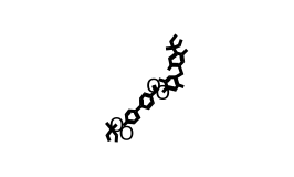 CCC(C)(CC)OC(=O)c1ccc(-c2ccc(C(=O)Oc3cc(C)c(Cc4cc(C)c(C(C)(CC)CC)cc4C)cc3C)cc2)cc1